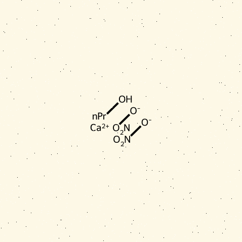 CCCO.O=[N+]([O-])[O-].O=[N+]([O-])[O-].[Ca+2]